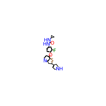 O=C(Nc1ccc(Oc2ccnc3c2SC(C2=CCNCC2)C3)c(F)c1)NC1CC1